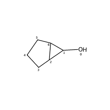 OC1C2CCCC12